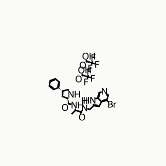 CC(NC(=O)[C@H]1C[C@H](c2ccccc2)CN1)C(=O)NCc1cc2c(Br)cncc2[nH]1.O=C(O)C(F)(F)F.O=C(O)C(F)(F)F